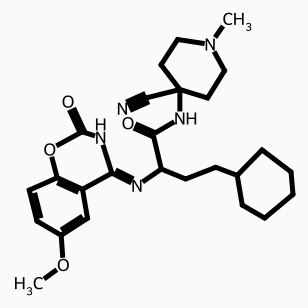 COc1ccc2oc(=O)[nH]/c(=N\C(CCC3CCCCC3)C(=O)NC3(C#N)CCN(C)CC3)c2c1